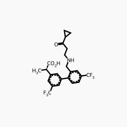 C[C@@H](C(=O)O)c1cc(-c2ccc(C(F)(F)F)cc2CNCCC(=O)C2CC2)cc(C(F)(F)F)c1